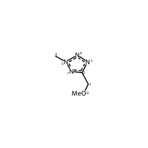 COCc1nnn(C)n1